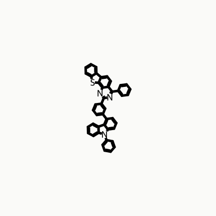 c1ccc(-c2nc(-c3cccc(-c4cccc5c4c4ccccc4n5-c4ccccc4)c3)nc3c2ccc2c4ccccc4sc23)cc1